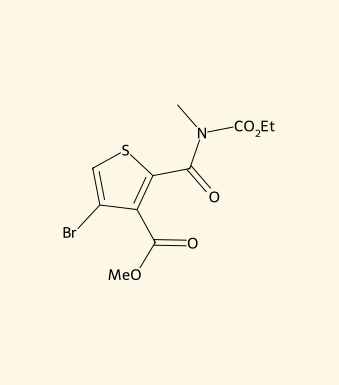 CCOC(=O)N(C)C(=O)c1scc(Br)c1C(=O)OC